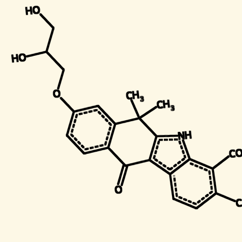 CC1(C)c2cc(OCC(O)CO)ccc2C(=O)c2c1[nH]c1c(C(=O)O)c(C#N)ccc21